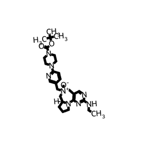 CCNc1ncc2c(n1)N1CCC[C@H]1C[N+]([O-])(Cc1ccc(N3CCN(C(=O)OC(C)(C)C)CC3)nc1)C2